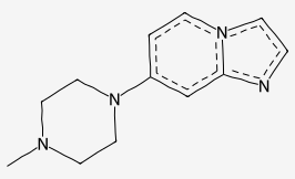 CN1CCN(c2ccn3ccnc3c2)CC1